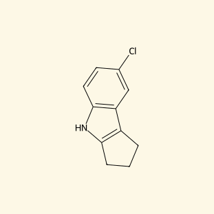 Clc1ccc2[nH]c3c(c2c1)CCC3